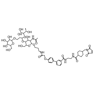 CC(=O)NC1C(OCCCNC(=O)COc2ccc(-c3cccc(C(=O)NCCNC(=O)C4CCC(CN5C(=O)C=CC5=O)CC4)c3)cc2)OC(CO)C(OC(OC(CO)[C@@H](C)O)[C@@H](O)COC2OC(CO)C(O)C(O)C2O)C1O